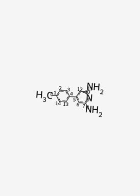 Cc1ccc(-c2cc(N)nc(N)c2)cc1